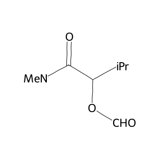 CNC(=O)C(OC=O)C(C)C